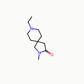 CCN1CCC2(CC1)CC(=O)N(C)C2